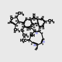 C=C1/C=C(F)\C=C/C/C(c2nc(C)nc3[nH]c4cc([C@H]5C(C)=NOC5C)c(OC)cc4c23)=C(/C)N1